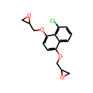 Clc1cccc2c(OCC3CO3)ccc(OCC3CO3)c12